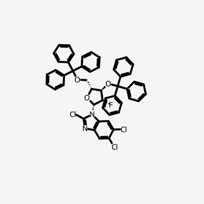 F[C@H]1[C@H](OC(c2ccccc2)(c2ccccc2)c2ccccc2)[C@@H](COC(c2ccccc2)(c2ccccc2)c2ccccc2)O[C@H]1n1c(Cl)nc2cc(Cl)c(Cl)cc21